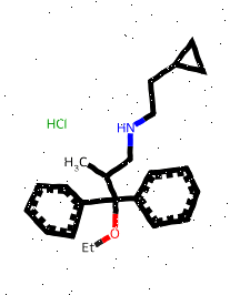 CCOC(c1ccccc1)(c1ccccc1)C(C)CNCCC1CC1.Cl